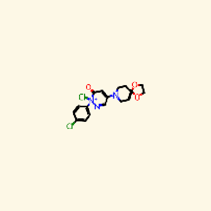 O=C1C=C(N2CCC3(CC2)OCCO3)C=N[N+]1(Cl)c1ccc(Cl)cc1